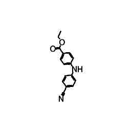 CCOC(=O)c1ccc(Nc2ccc(C#N)cc2)cc1